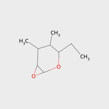 CCC1OC2OC2C(C)C1C